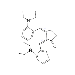 CCN(CC)c1ccccc1/C=C1/CCC(=O)/C1=C\c1ccccc1N(CC)CC